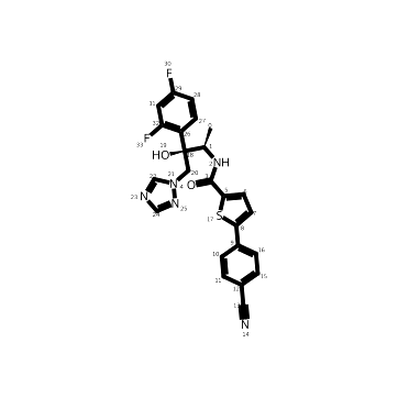 C[C@@H](NC(=O)c1ccc(-c2ccc(C#N)cc2)s1)[C@](O)(Cn1cncn1)c1ccc(F)cc1F